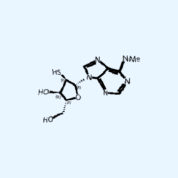 CNc1ncnc2c1ncn2[C@@H]1O[C@H](CO)[C@@H](O)[C@H]1S